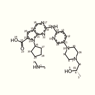 CNC.C[C@H](O)CN1CCN(c2ccc(Nc3ncc4cc(C(=O)O)n(C5CCCC5)c4n3)nc2)CC1